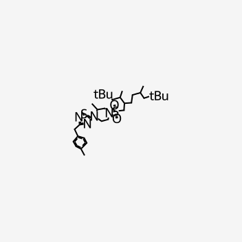 Cc1ccc(Cc2nsc(N3CCN(S(=O)(=O)CC(CCC(C)CC(C)(C)C)C(C)CC(C)(C)C)CC3C)n2)cc1